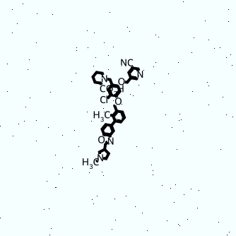 Cc1c(COc2cc(OCc3cncc(C#N)c3)c(CN3CCCCC3C(=O)O)cc2Cl)cccc1-c1ccc2oc(C3CCN(C)C3)nc2c1